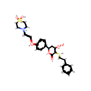 O=C1OC(c2ccc(OCCN3CCS(=O)(=O)CC3)cc2)CC(O)=C1SCCc1ccccc1